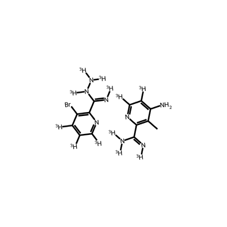 [3H]N=C(c1nc([3H])c([3H])c(N)c1C)N([3H])[3H].[3H]N=C(c1nc([3H])c([3H])c([3H])c1Br)N([3H])N([3H])[3H]